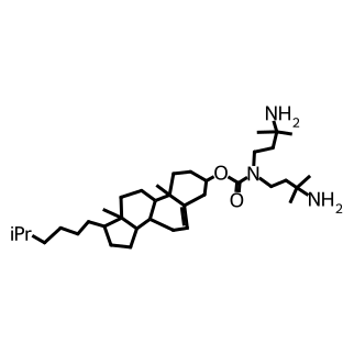 CC(C)CCCCC1CCC2C3CC=C4CC(OC(=O)N(CCC(C)(C)N)CCC(C)(C)N)CCC4(C)C3CCC12C